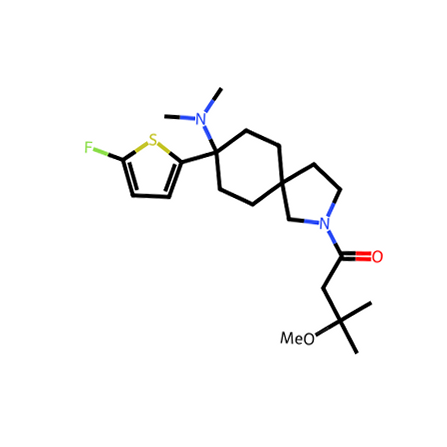 COC(C)(C)CC(=O)N1CCC2(CCC(c3ccc(F)s3)(N(C)C)CC2)C1